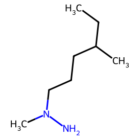 CCC(C)CCCN(C)N